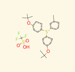 Cc1cccc([S+](c2ccc(OC(C)(C)C)cc2)c2ccc(OC(C)(C)C)cc2)c1.O=S(=O)(O)C(F)(F)F